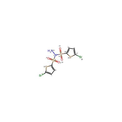 NN(S(=O)(=O)c1ccc(Br)s1)S(=O)(=O)c1ccc(Br)s1